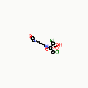 COc1ccc2c(ccn2CCCCCCCCNC(=O)c2cc(-c3cccc(Cl)c3)c(OCC(=O)O)c(-c3cccc(Cl)c3)c2)c1